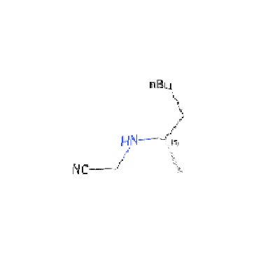 CCCCC[C@H](C)NCC#N